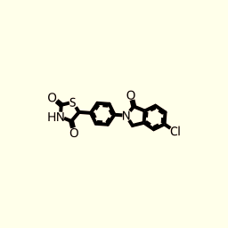 O=C1NC(=O)C(c2ccc(N3Cc4cc(Cl)ccc4C3=O)cc2)S1